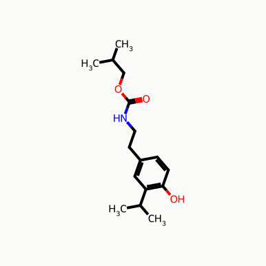 CC(C)COC(=O)NCCc1ccc(O)c(C(C)C)c1